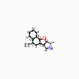 CCc1cc2c3c(oc2c2ccccc12)CN=C3